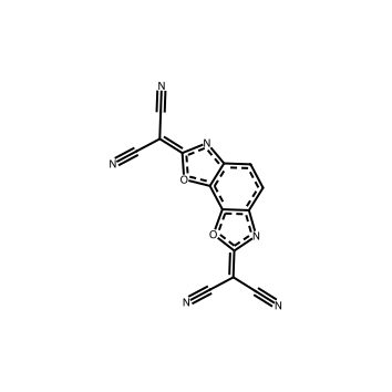 N#CC(C#N)=c1nc2ccc3nc(=C(C#N)C#N)oc3c2o1